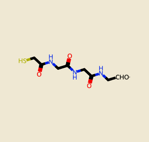 O=[C]CNC(=O)CNC(=O)CNC(=O)CS